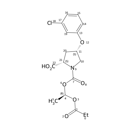 CCC(=O)O[C@@H](C)OC(=O)N1C[C@@H](Oc2cccc(Cl)c2)C[C@H]1C(=O)O